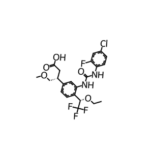 CCO[C@@H](c1ccc([C@H](COC)CC(=O)O)cc1NC(=O)Nc1ccc(Cl)cc1F)C(F)(F)F